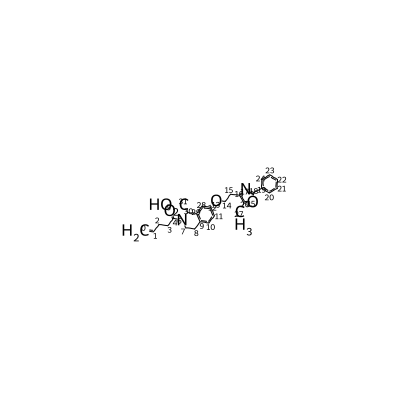 C=CCCC(=O)N1CCc2ccc(OCCc3nc(-c4ccccc4)oc3C)cc2C1C(=O)O